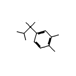 Cc1ccc(C(O)(C#N)C(F)F)cc1Br